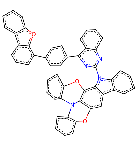 c1ccc2c(c1)Oc1cc3c4ccccc4n(-c4nc(-c5ccc(-c6cccc7c6oc6ccccc67)cc5)c5ccccc5n4)c3c3c1N2c1ccccc1O3